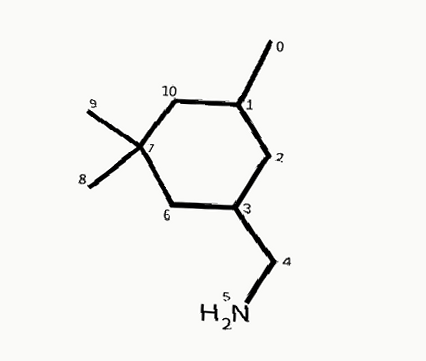 CC1CC(CN)CC(C)(C)C1